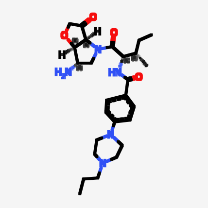 CCCN1CCN(c2ccc(C(=O)N[C@H](C(=O)N3C[C@H](N)[C@H]4OCC(=O)[C@H]43)[C@@H](C)CC)cc2)CC1